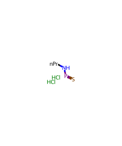 CCCNP=S.Cl.Cl